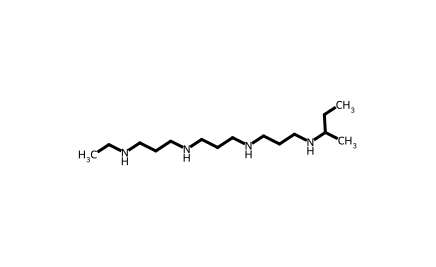 CCNCCCNCCCNCCCNC(C)CC